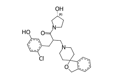 O=C(C(Cc1cc(O)ccc1Cl)CN1CCC2(CC1)OCc1ccccc12)N1CC[C@@H](O)C1